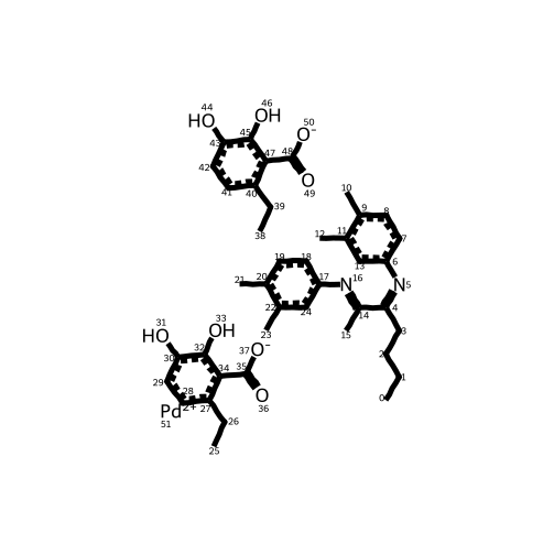 CCCCC(=Nc1ccc(C)c(C)c1)C(C)=Nc1ccc(C)c(C)c1.CCc1ccc(O)c(O)c1C(=O)[O-].CCc1ccc(O)c(O)c1C(=O)[O-].[Pd+2]